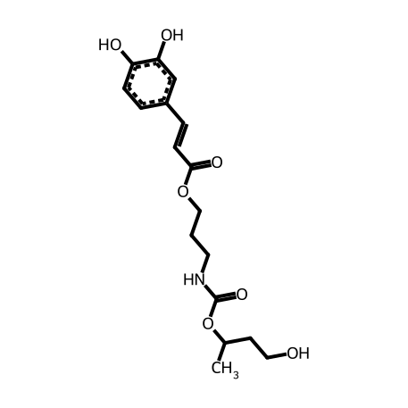 CC(CCO)OC(=O)NCCCOC(=O)/C=C/c1ccc(O)c(O)c1